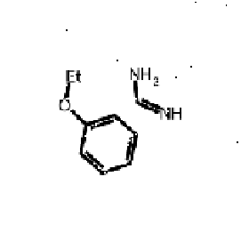 CCOc1ccccc1.N=CN